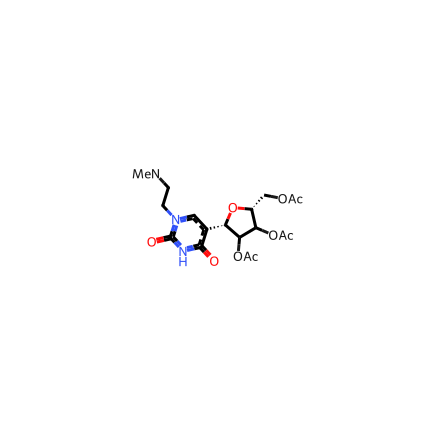 CNCCn1cc([C@@H]2O[C@H](COC(C)=O)C(OC(C)=O)C2OC(C)=O)c(=O)[nH]c1=O